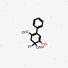 COC1(C(C)C)CC(C=O)=C(c2ccccc2)C=C1O